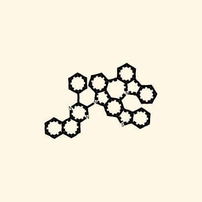 c1ccc(-c2nc3c(ccc4ccccc43)nc2-n2c3cccc4c5cccc6c7ccccc7n(c56)c5c6c(cc2c5c43)sc2ccccc26)cc1